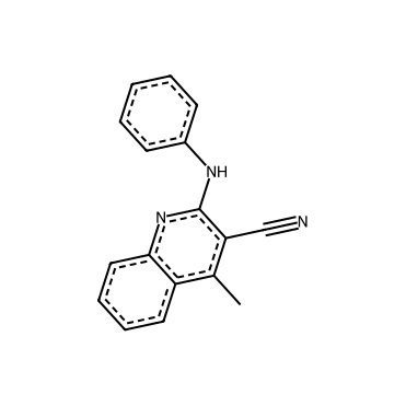 Cc1c(C#N)c(Nc2ccccc2)nc2ccccc12